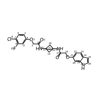 O=C(COc1ccc(Cl)c(F)c1)NC12CC(NC(=O)COc3ccc4cc[nH]c4c3)(C1)C2